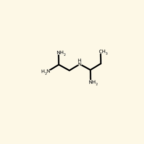 CCC(N)NCC(N)N